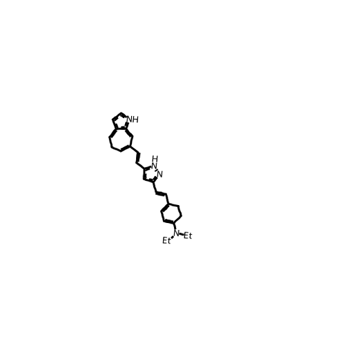 CCN(CC)C1=CC=C(/C=C/c2cc(/C=C/C3=CCC=c4cc[nH]c4=C3)[nH]n2)CC1